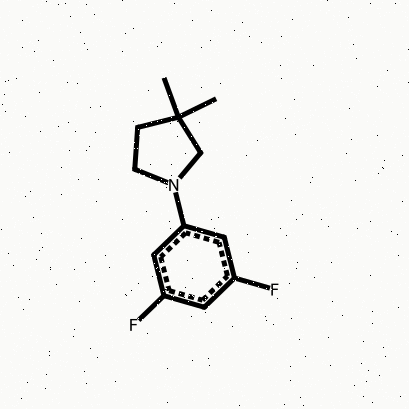 CC1(C)CCN(c2cc(F)cc(F)c2)C1